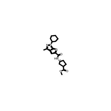 COC(=O)C1CC[C@@H](NC(=O)c2cc3c(C)nn(C4CCCCC4)c3s2)C1